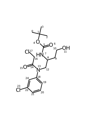 CC(C)(C)OC(=O)NC(CCO)CN(C(=O)CCl)c1cccc(Cl)c1